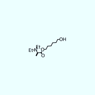 C=C(C(=O)OCCCCCCO)N(CC)CC